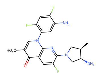 C[C@@H]1CN(c2nc3c(cc2F)c(=O)c(C(=O)O)cn3-c2cc(N)c(F)cc2F)C[C@@H]1N